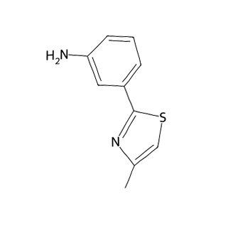 Cc1csc(-c2cccc(N)c2)n1